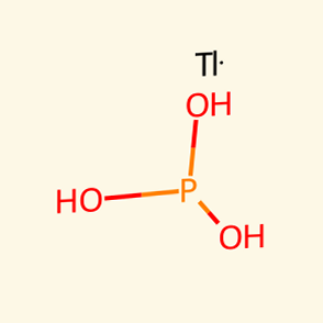 OP(O)O.[Tl]